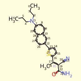 CCCN(CCC)c1ccc2cc(-c3ccc(/C(C)=C(\C#N)C(N)=O)s3)ccc2c1